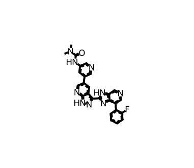 CN(C)C(=O)Nc1cncc(-c2cnc3[nH]nc(-c4nc5c(-c6ccccc6F)cncc5[nH]4)c3c2)c1